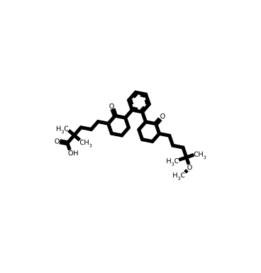 COC(C)(C)CCCC1CCCC(c2ccccc2C2CCCC(CCCC(C)(C)C(=O)O)C2=O)C1=O